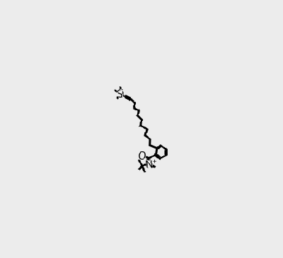 C[N+]1=C(c2ccccc2CCCCCCCCCCC#C[Si](C)(C)C)OCC1(C)C